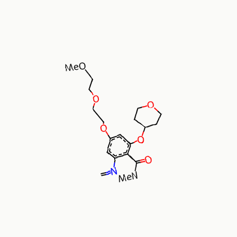 C=Nc1cc(OCCOCCOC)cc(OC2CCOCC2)c1C(=O)NC